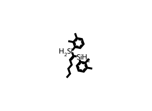 CCCCC=C([SiH2]c1cccc(C)c1C)[SiH2]c1cccc(C)c1C